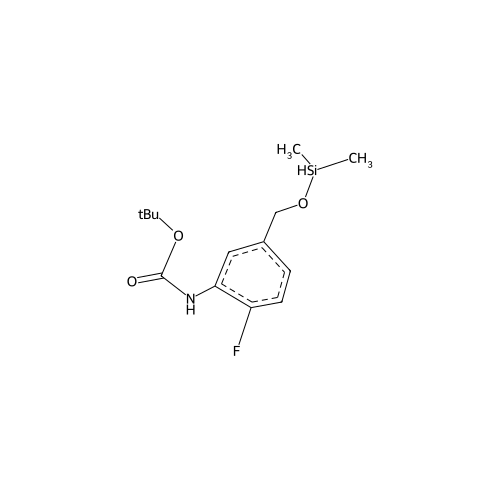 C[SiH](C)OCc1ccc(F)c(NC(=O)OC(C)(C)C)c1